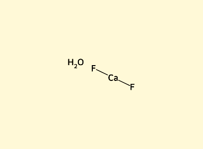 O.[F][Ca][F]